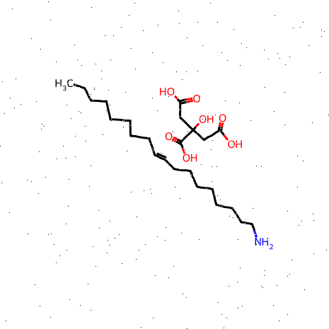 CCCCCCCCC=CCCCCCCCCN.O=C(O)CC(O)(CC(=O)O)C(=O)O